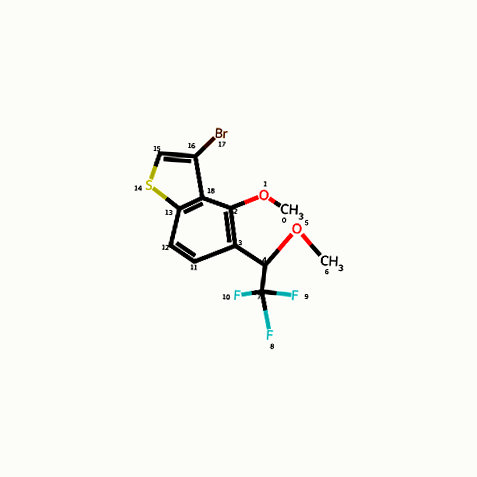 COc1c(C(OC)C(F)(F)F)ccc2scc(Br)c12